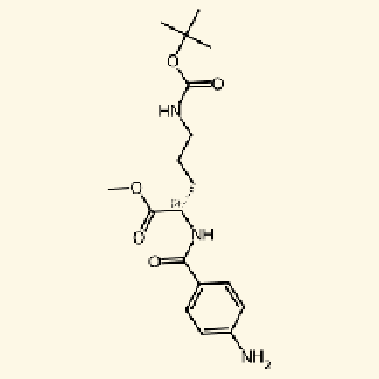 COC(=O)[C@H](CCCNC(=O)OC(C)(C)C)NC(=O)c1ccc(N)cc1